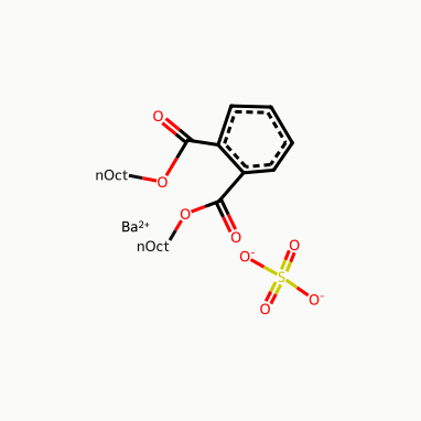 CCCCCCCCOC(=O)c1ccccc1C(=O)OCCCCCCCC.O=S(=O)([O-])[O-].[Ba+2]